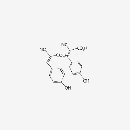 N#CC(=Cc1ccc(O)cc1)C(=O)O.N#CC(=Cc1ccc(O)cc1)C(=O)O